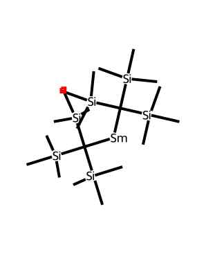 C[Si](C)(C)[C]([Sm][C]([Si](C)(C)C)([Si](C)(C)C)[Si](C)(C)C)([Si](C)(C)C)[Si](C)(C)C